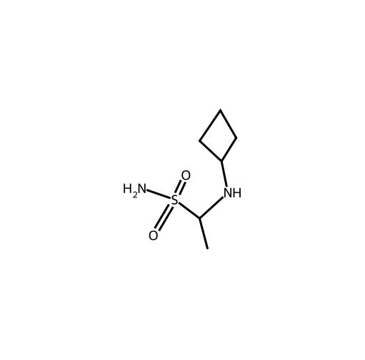 CC(NC1CCC1)S(N)(=O)=O